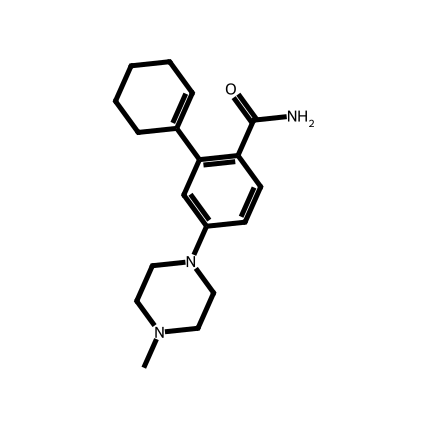 CN1CCN(c2ccc(C(N)=O)c(C3=CCCCC3)c2)CC1